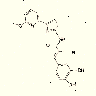 COc1cccc(-c2csc(NC(=O)/C(C#N)=C/c3ccc(O)c(O)c3)n2)n1